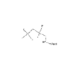 CCCCCNCC(F)(F)CC(C)(F)F